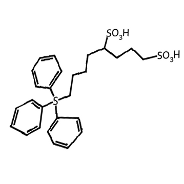 O=S(=O)(O)CCCC(CCCCS(c1ccccc1)(c1ccccc1)c1ccccc1)S(=O)(=O)O